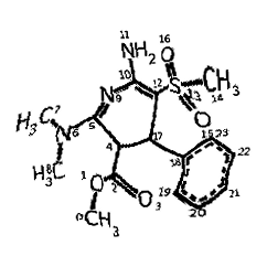 COC(=O)C1C(N(C)C)=NC(N)=C(S(C)(=O)=O)C1c1ccccc1